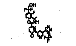 C[C@@H](NC(=O)c1ccc(=O)n(-c2cncc(-c3cnnn3[C@H]3CC3(F)F)c2)n1)c1cccc(C(F)(F)CO)c1F